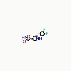 O=c1cc([C@H]2CCN[C@@H](Cc3ccc(F)c(F)c3)C2)o[nH]1